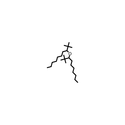 CCCCCCCC(OC(CCCCCCC)C(C)(C)C)C(C)(C)C